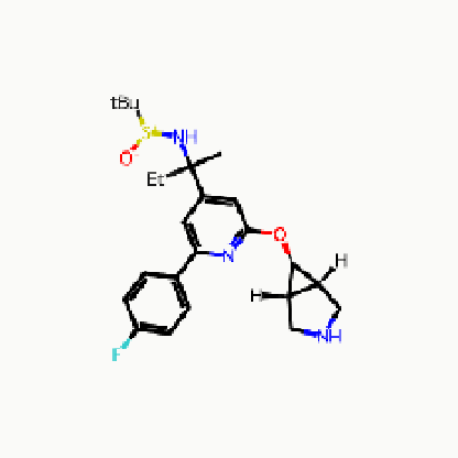 CCC(C)(N[S+]([O-])C(C)(C)C)c1cc(O[C@H]2[C@@H]3CNC[C@@H]32)nc(-c2ccc(F)cc2)c1